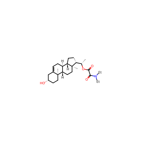 CCN(CC)C(=O)C(=O)O[C@@H](C)[C@H]1CC[C@H]2[C@@H]3CC=C4C[C@@H](O)CC[C@]4(C)[C@H]3CC[C@]12C